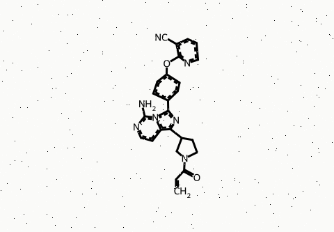 C=CC(=O)N1CCC(c2nc(-c3ccc(Oc4ncccc4C#N)cc3)n3c(N)nccc23)C1